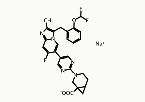 Cc1nc2cc(F)c(-c3cnc(N4CCC5CC5(C(=O)[O-])C4)nc3)cn2c1Cc1ccccc1OC(F)F.[Na+]